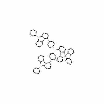 c1ccc(-n2c3ccccc3c3c(-c4ccc(N(c5ccc(-c6cccc7c6c6ccccc6n7-c6ccccc6)cc5)c5cccc6c5-c5ccccc5C65c6ccccc6-c6ccccc65)cc4)cccc32)cc1